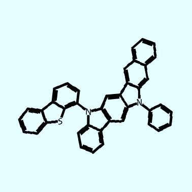 c1ccc(-n2c3cc4ccccc4cc3c3cc4c(cc32)c2ccccc2n4-c2cccc3c2sc2ccccc23)cc1